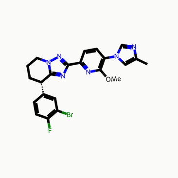 COc1nc(-c2nc3n(n2)CCC[C@H]3c2ccc(F)c(Br)c2)ccc1-n1cnc(C)c1